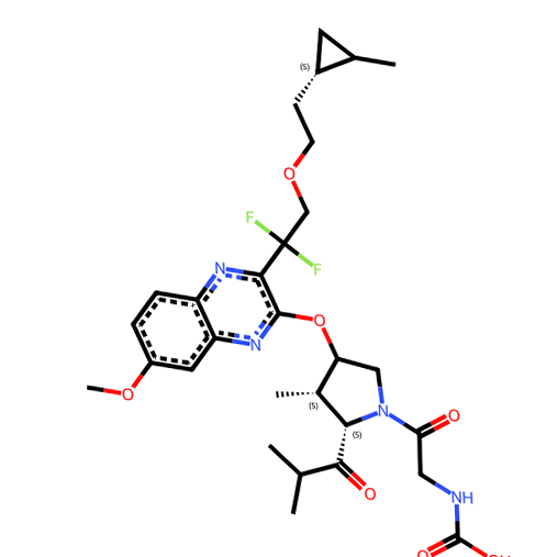 COc1ccc2nc(C(F)(F)COCC[C@@H]3CC3C)c(OC3CN(C(=O)CNC(=O)O)[C@H](C(=O)C(C)C)[C@@H]3C)nc2c1